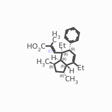 CCC1=C[C@@H](c2ccccc2)[C@@](/C=C(\C)C(=O)O)(CC)[C@H]2[C@H]1[C@H](C)C[C@H]2C